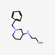 COCCNC1CCCN(Cc2ccccc2)C1